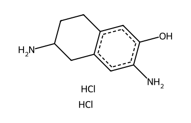 Cl.Cl.Nc1cc2c(cc1O)CCC(N)C2